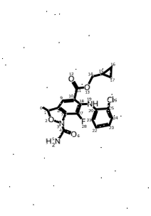 CC1ON(C(N)=O)c2c1cc(C(=O)OCC1CC1)c(Nc1ccccc1Cl)c2F